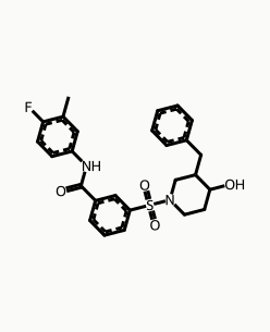 Cc1cc(NC(=O)c2cccc(S(=O)(=O)N3CCC(O)C(Cc4ccccc4)C3)c2)ccc1F